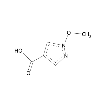 COn1cc(C(=O)O)cn1